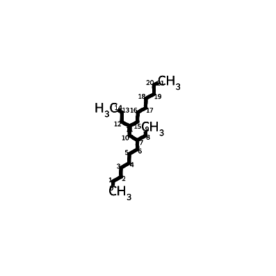 CCCCCCCC(CC)CC(CCC)CCCCCCC